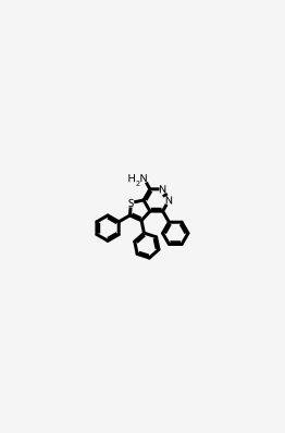 Nc1nnc(-c2ccccc2)c2c(-c3ccccc3)c(-c3ccccc3)sc12